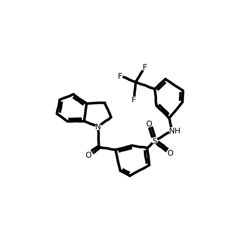 O=C(c1cccc(S(=O)(=O)Nc2cccc(C(F)(F)F)c2)c1)N1CCc2ccccc21